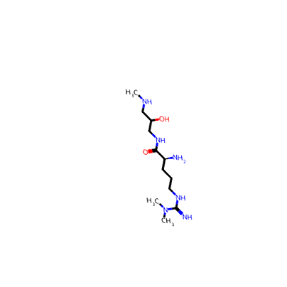 CNCC(O)CNC(=O)[C@@H](N)CCCNC(=N)N(C)C